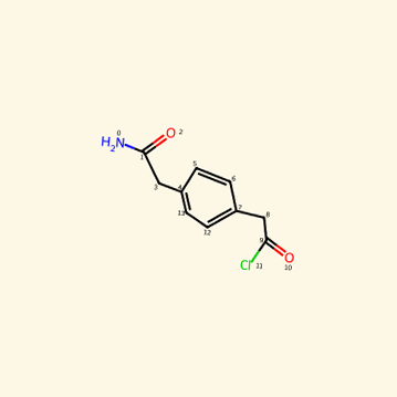 NC(=O)Cc1ccc(CC(=O)Cl)cc1